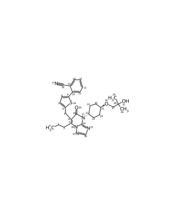 CCCc1c(Cc2ccc(-c3ccccc3C#N)s2)c(=O)n([C@H]2CC[C@H](OCC(C)(C)O)CC2)c2ncnn12